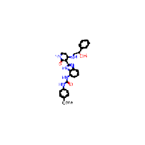 COc1ccc(NC(=O)Nc2cccc3nc(-c4c(NC[C@H](O)c5ccccc5)cc[nH]c4=O)[nH]c23)cc1